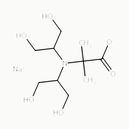 CC(C)(C(=O)[O-])N(C(CO)CO)C(CO)CO.[Na+]